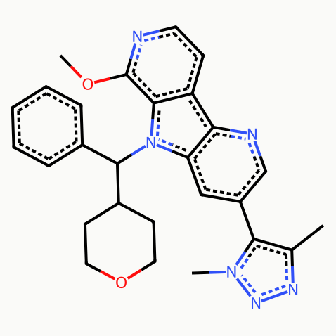 COc1nccc2c3ncc(-c4c(C)nnn4C)cc3n(C(c3ccccc3)C3CCOCC3)c12